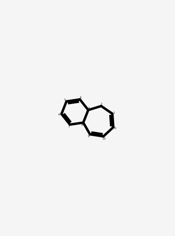 C1=CCC2C=CC=CC2C=C1